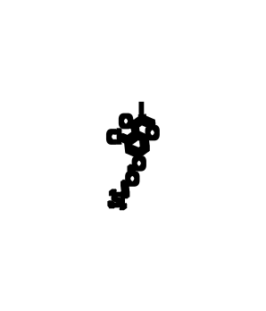 C[Si](C)(C)CCOCOc1cc(Cl)c2c(=O)c(I)coc2c1